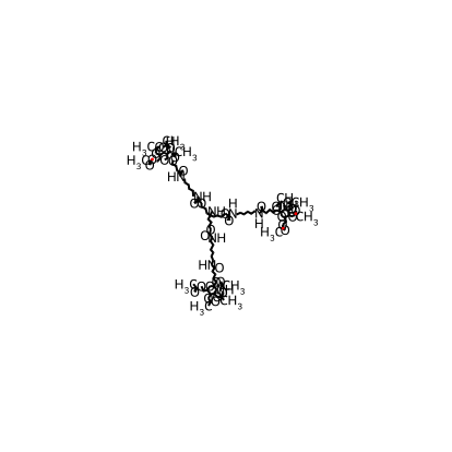 CC(=O)NC1C(OCCCC(=O)NCCCCCCNC(=O)OCCCC(N)(CCCOC(=O)NCCCCCCNC(=O)CCCOC2OC(COC(C)=O)C(OC(C)=O)C(OC(C)=O)C2NC(C)=O)CCCOC(=O)NCCCCCCNC(=O)CCCOC2OC(COC(C)=O)C(OC(C)=O)C(OC(C)=O)C2NC(C)=O)OC(COC(C)=O)C(OC(C)=O)C1OC(C)=O